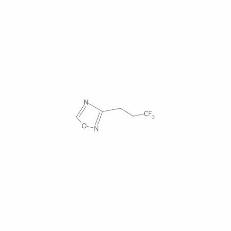 FC(F)(F)CCc1ncon1